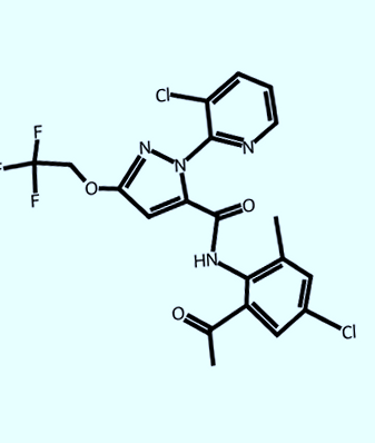 CC(=O)c1cc(Cl)cc(C)c1NC(=O)c1cc(OCC(F)(F)F)nn1-c1ncccc1Cl